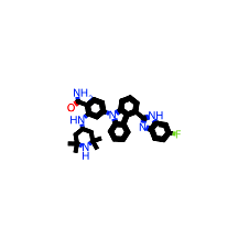 CC1(C)CC(Nc2cc(-n3c4ccccc4c4c(-c5nc6ccc(F)cc6[nH]5)cccc43)ccc2C(N)=O)CC(C)(C)N1